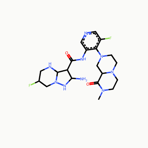 CN1CCN2CCN(c3c(F)cncc3NC(=O)C3C(N)NN4CC(F)CNC34)CC2C1=O